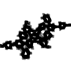 CC(C)(C)c1ccc(-c2cc(-c3ccccc3)c(-c3ccc4c(c3)c3c5c6ccc(C(C)(C)C)cc6n6c7ccc(-c8c(-c9ccccc9)cc(-c9ccc(C(C)(C)C)cc9)cc8-c8ccccc8)cc7c(c7c8ccc(C(C)(C)C)cc8n4c37)c56)c(-c3ccccc3)c2)cc1